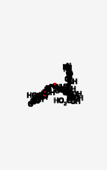 C[C@]12C=CC(=O)C=C1CC[C@@H]1[C@@H]2[C@@H](O)C[C@@]2(C)[C@H]1C[C@H]1CN(c3ccc(CC45CC(NC(=O)OCc6ccc(O[C@@H]7O[C@H](C(=O)O)[C@@H](O)[C@H](O)[C@H]7O)c(NC(=O)CCNC(=O)Cc7ccc(-c8nncnn8)cc7)c6)(C4)C5)cc3)C[C@]12C(=O)CO